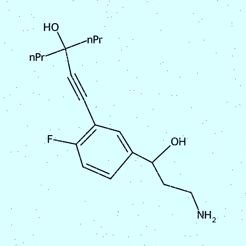 CCCC(O)(C#Cc1cc(C(O)CCN)ccc1F)CCC